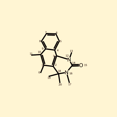 Cc1c2c(c3ccccc3c1C)N(C)C(=O)N(C)C2(C)C